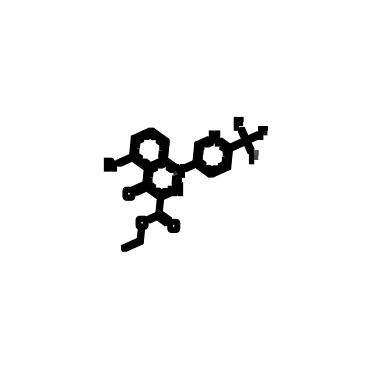 CCOC(=O)c1nn(-c2ccc(C(F)(F)F)nc2)c2cccc(Br)c2c1=O